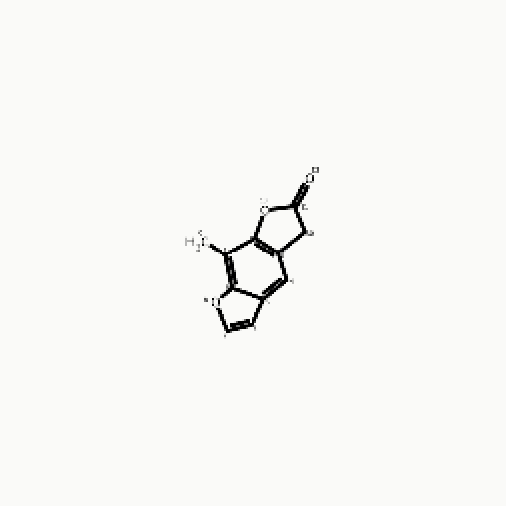 Cc1c2c(cc3ccoc13)CC(=O)O2